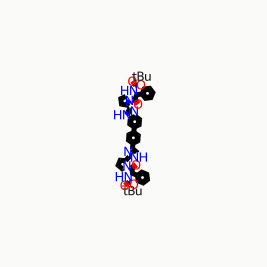 CC(C)(C)OC(=O)N[C@@H](C(=O)N1CCCC1c1nc(-c2ccc(-c3ccc4nc([C@@H]5CCCN5C(=O)[C@H](NC(=O)OC(C)(C)C)c5ccccc5)[nH]c4c3)cc2)c[nH]1)c1ccccc1